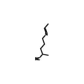 CC=NCCCC(C)C#N